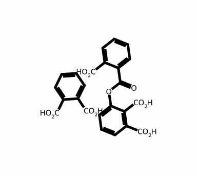 O=C(O)c1ccccc1C(=O)O.O=C(O)c1ccccc1C(=O)Oc1cccc(C(=O)O)c1C(=O)O